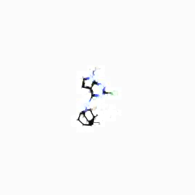 CCOC(=O)[C@@H]1C2CCC(CC2)[C@H]1Nc1nc(Cl)nc2c1ccn2C(C)C